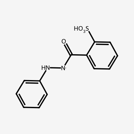 O=C([N]Nc1ccccc1)c1ccccc1S(=O)(=O)O